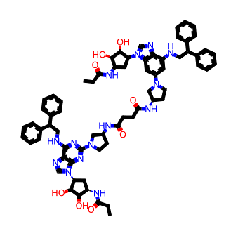 CCC(=O)NC1CC(n2cnc3c(NCC(c4ccccc4)c4ccccc4)cc(N4CC[C@@H](NC(=O)CCC(=O)NC5CCN(c6nc(NCC(c7ccccc7)c7ccccc7)c7ncn([C@@H]8C[C@H](NC(=O)CC)C(O)C8O)c7n6)C5)C4)cc32)[C@H](O)[C@@H]1O